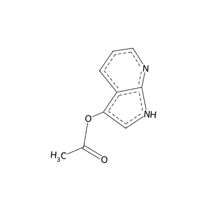 CC(=O)Oc1c[nH]c2ncccc12